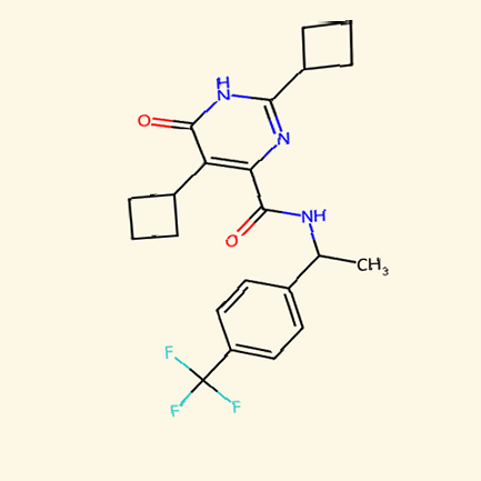 CC(NC(=O)c1nc(C2CCC2)[nH]c(=O)c1C1CCC1)c1ccc(C(F)(F)F)cc1